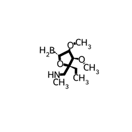 B[C@H]1O[C@@](CC)(CNC)[C@H](OC)[C@@H]1OC